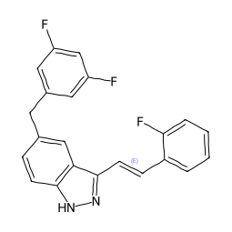 Fc1cc(F)cc(Cc2ccc3[nH]nc(/C=C/c4ccccc4F)c3c2)c1